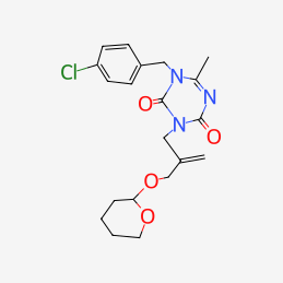 C=C(COC1CCCCO1)Cn1c(=O)nc(C)n(Cc2ccc(Cl)cc2)c1=O